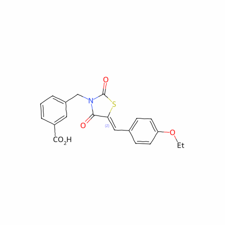 CCOc1ccc(/C=C2\SC(=O)N(Cc3cccc(C(=O)O)c3)C2=O)cc1